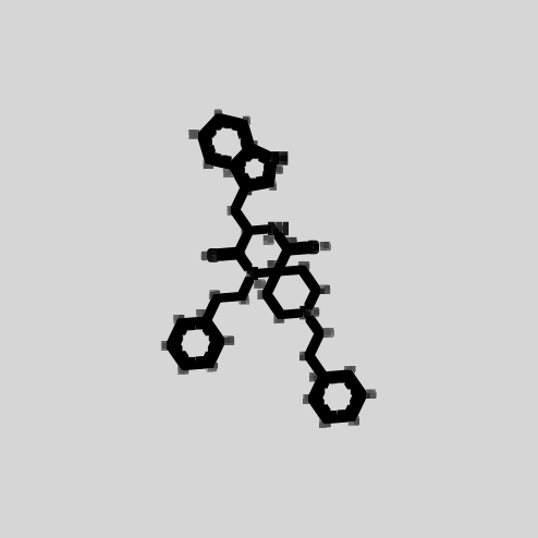 O=C1C(Cc2c[nH]c3ccccc23)NC(=O)C2(CCN(CCc3ccccc3)CC2)N1CCc1ccccc1